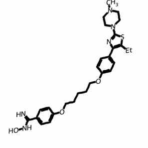 CCc1sc(N2CCN(C)CC2)nc1-c1ccc(OCCCCCOc2ccc(C(=N)NO)cc2)cc1